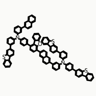 c1cc(-c2ccc3ccccc3c2)cc(N(c2ccc(-c3ccc(-c4ccc5cc(-c6cccc(N(c7ccc(-c8ccc9c(c8)sc8ccccc89)cc7)c7cccc(-c8ccc9c(c8)sc8ccccc89)c7)c6)ccc5c4)c4oc5ccccc5c34)cc2)c2cccc(-c3ccc4c(c3)sc3ccccc34)c2)c1